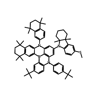 CSc1ccc2c(c1)C1(C)CCCCC1(C)N2c1cc2c3c(c1)N(c1ccc4c(c1)C(C)(C)CCC4(C)C)c1cc4c(cc1B3c1cc(C(C)(C)C)ccc1N2c1ccc(C(C)(C)C)cc1)C(C)(C)CCC4(C)C